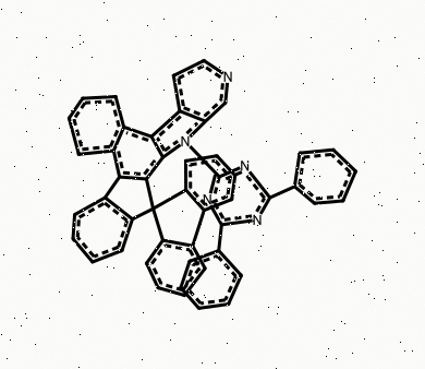 c1ccc(-c2nc(-c3ccccc3)nc(-n3c4cnccc4c4c5ccccc5c5c(c43)C3(c4ccccc4-c4ccccc43)c3ccccc3-5)n2)cc1